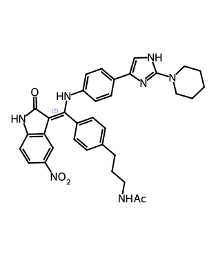 CC(=O)NCCCc1ccc(/C(Nc2ccc(-c3c[nH]c(N4CCCCC4)n3)cc2)=C2/C(=O)Nc3ccc([N+](=O)[O-])cc32)cc1